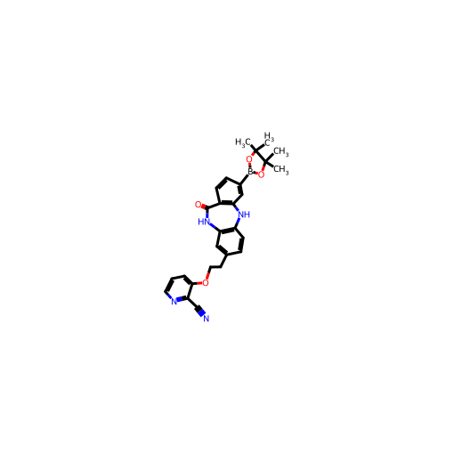 CC1(C)OB(c2ccc3c(c2)Nc2ccc(CCOc4cccnc4C#N)cc2NC3=O)OC1(C)C